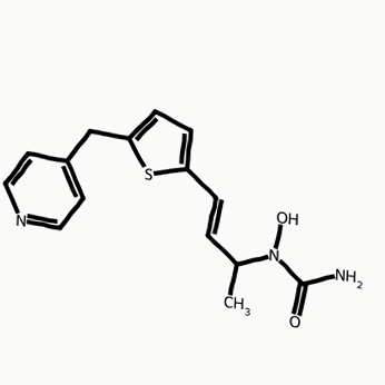 CC(C=Cc1ccc(Cc2ccncc2)s1)N(O)C(N)=O